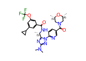 C[C@@H]1CN(C(=O)c2ccc(-n3nc(N(C)C)nc3[C@H](C)NC(=O)c3cc(OC(F)(F)F)cc(C4CC4)c3)nc2)C[C@H](C)O1